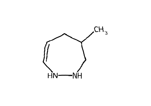 CC1CC=CNNC1